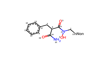 CCCCCCCCCCN(O)C(=O)C(Cc1ccccc1)C(N)=O